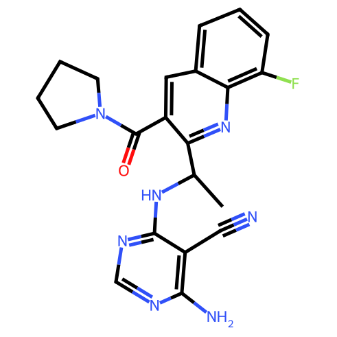 CC(Nc1ncnc(N)c1C#N)c1nc2c(F)cccc2cc1C(=O)N1CCCC1